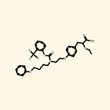 CCOC(Cc1ccc(OCCN(CCCCOc2ccccc2)C(=O)Oc2ccccc2C(F)(F)F)cc1)C(=O)O